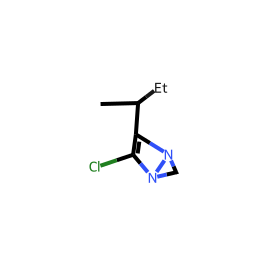 CCC(C)c1c(Cl)n2n1C2